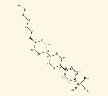 CCCCCCC[C@H]1CC[C@H]([C@H]2CC[C@H](c3ccc(C(F)(F)F)nc3)CC2)CC1